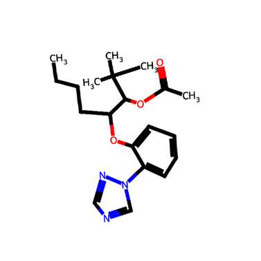 CCCCC(Oc1ccccc1-n1cncn1)C(OC(C)=O)C(C)(C)C